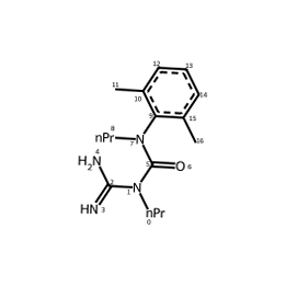 CCCN(C(=N)N)C(=O)N(CCC)c1c(C)cccc1C